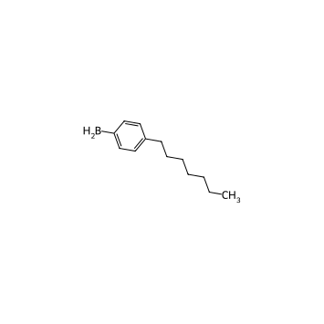 Bc1ccc(CCCCCCC)cc1